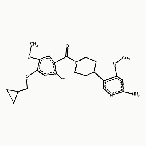 COc1cc(C(=O)N2CCC(c3cnc(N)cc3OC)CC2)c(F)cc1OCC1CC1